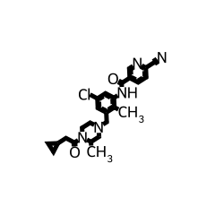 Cc1c(CN2CCN(C(=O)CC3CC3)C(C)C2)cc(Cl)cc1NC(=O)c1ccc(C#N)nc1